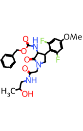 COc1cc(F)c(C2CN(CC(=O)NCC(C)O)C(=O)C2NC(=O)OCc2ccccc2)c(F)c1